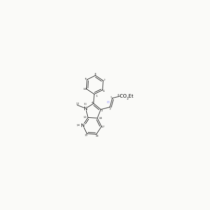 CCOC(=O)/C=C/c1c(-c2ccccc2)n(C)c2ncccc12